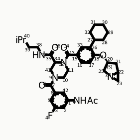 CC(=O)Nc1cc(F)cc(C(=O)N2CCN(C(=O)c3ccc(O[C@H]4CC5CN5C4)c(C4CCCCC4)c3)C(C(=O)NCCC(C)C)C2)c1